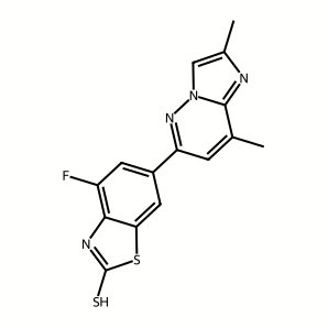 Cc1cn2nc(-c3cc(F)c4nc(S)sc4c3)cc(C)c2n1